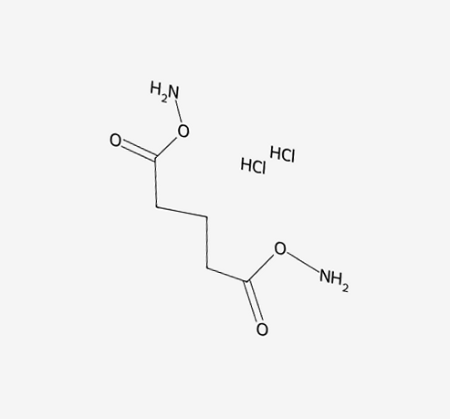 Cl.Cl.NOC(=O)CCCC(=O)ON